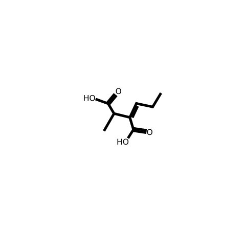 CCC=C(C(=O)O)C(C)C(=O)O